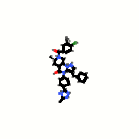 Cc1nnc(-c2ccc(N3C(=O)C4C[C@H](C)N(C(=O)c5ccc(Cl)c(C(F)(F)F)c5)CC4n4ncc(Cc5ccccc5)c43)cc2)[nH]1